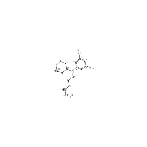 O=C(O)NCCO[C@@H](c1cc(F)cc(Cl)c1)C1CCCNC1